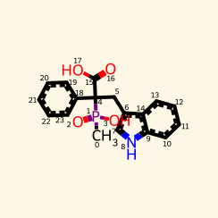 CP(=O)(O)C(Cc1c[nH]c2ccccc12)(C(=O)O)c1ccccc1